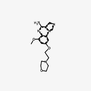 COc1cc(OCCN2CCOCC2)cc2c1nc(N)c1cncn12